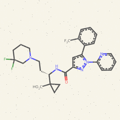 O=C(N[C@@H](CCN1CCCC(F)(F)C1)C1(C(=O)O)CC1)c1cc(-c2ccccc2C(F)(F)F)n(-c2ccccn2)n1